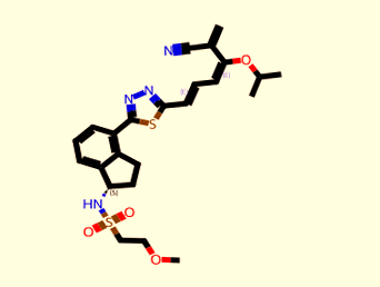 C=C(C#N)/C(=C\C=C\c1nnc(-c2cccc3c2CC[C@@H]3NS(=O)(=O)CCOC)s1)OC(C)C